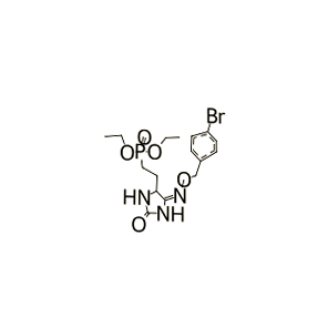 CCOP(=O)(CCC1NC(=O)NC1=NOCc1ccc(Br)cc1)OCC